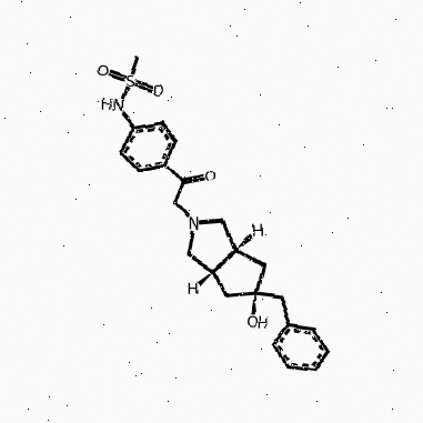 CS(=O)(=O)Nc1ccc(C(=O)CN2C[C@@H]3C[C@](O)(Cc4ccccc4)C[C@@H]3C2)cc1